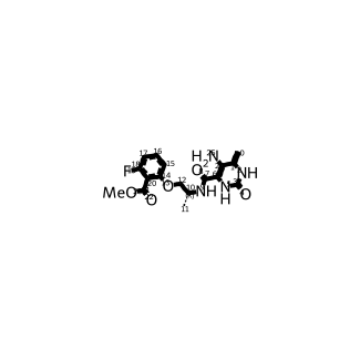 C=C1NC(=O)NC(C(=O)N[C@H](C)COc2cccc(F)c2C(=O)OC)=C1N